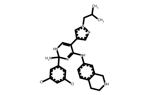 CC(C)Cn1cc(C2=CNC(N)(c3cc(Cl)cc(Cl)c3)N=C2Nc2ccc3c(c2)CNCC3)cn1